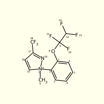 C[N+]1(c2ccccc2OC(F)(F)C(F)F)C=CC(C(F)(F)F)=N1